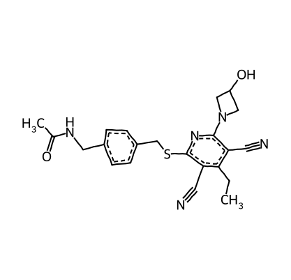 CCc1c(C#N)c(SCc2ccc(CNC(C)=O)cc2)nc(N2CC(O)C2)c1C#N